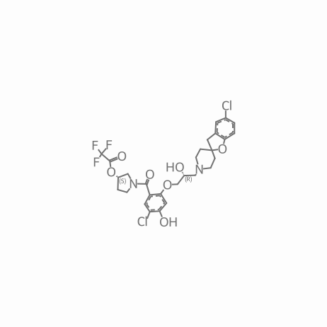 O=C(c1cc(Cl)c(O)cc1OC[C@H](O)CN1CCC2(CC1)Cc1cc(Cl)ccc1O2)N1CC[C@H](OC(=O)C(F)(F)F)C1